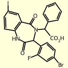 O=C(O)C(c1ccccc1)N1C(=O)c2cc(I)ccc2NC(=O)C1c1ccc(Br)cc1F